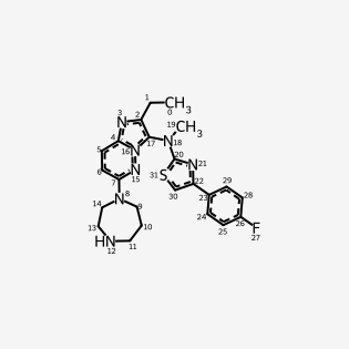 CCc1nc2ccc(N3CCCNCC3)nn2c1N(C)c1nc(-c2ccc(F)cc2)cs1